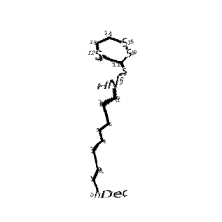 CCCCCCCCCCCCCCCCCCNSC1SCCSS1